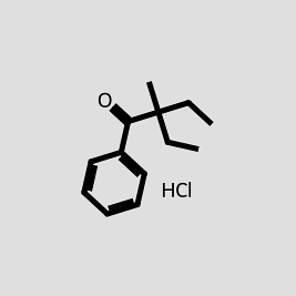 CCC(C)(CC)C(=O)c1ccccc1.Cl